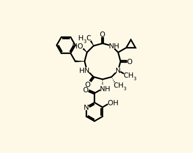 C[C@@H]1[C@H](NC(=O)c2ncccc2O)C(=O)N[C@@H](Cc2ccccc2)[C@@H](O)[C@@H](C)C(=O)NC(C2CC2)C(=O)N1C